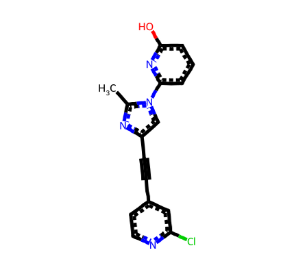 Cc1nc(C#Cc2ccnc(Cl)c2)cn1-c1cccc(O)n1